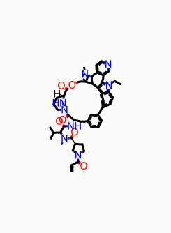 C=CC(=O)N1CC[C@H](C(=O)N(C)C(C(=O)N[C@H]2Cc3cccc(c3)-c3ccc4c(c3)c3c(n4CC)-c4cnccc4[C@H](N(C)C)C3C(C)(C)COC(=O)[C@@H]3CCCN(N3)C2=O)C(C)C)C1